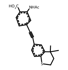 CC(=O)Nc1cc(C#Cc2ccc3c(c2)C(C)(C)CCS3)ccc1C(=O)O